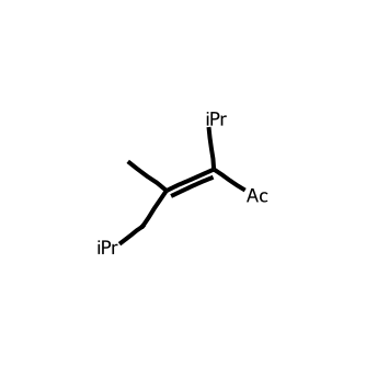 CC(=O)C(=C(C)CC(C)C)C(C)C